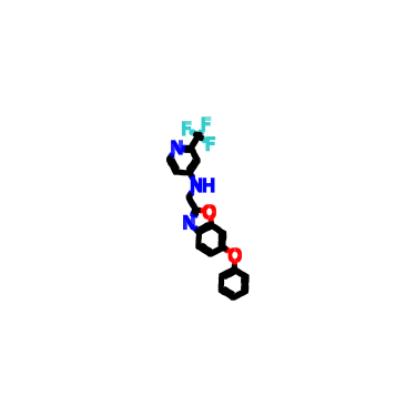 FC(F)(F)c1cc(NCc2nc3ccc(Oc4ccccc4)cc3o2)ccn1